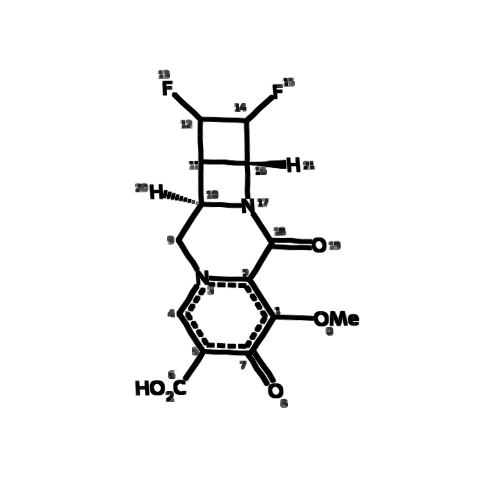 COc1c2n(cc(C(=O)O)c1=O)C[C@H]1C3C(F)C(F)[C@@H]3N1C2=O